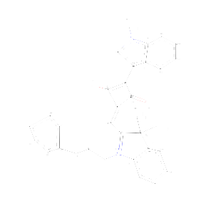 Cn1cc(C2=C(O)/C(=C/C3=[N+](CCCc4ccccc4)c4ccccc4C3(C)C)C2=O)c2ccccc21